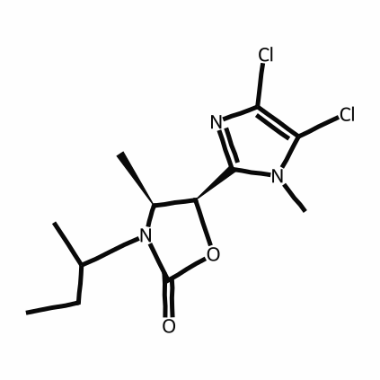 CCC(C)N1C(=O)O[C@H](c2nc(Cl)c(Cl)n2C)[C@@H]1C